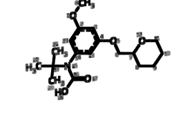 COc1cc(OCC2CCCCO2)cc(N(C(=O)O)C(C)(C)C)c1